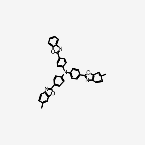 Cc1ccc2nc(-c3ccc(N(c4ccc(-c5nc6ccccc6o5)cc4)c4ccc(-c5nc6ccc(C)cc6o5)cc4)cc3)oc2c1